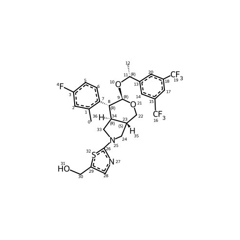 Cc1cc(F)ccc1[C@@H]1[C@@H](O[C@H](C)c2cc(C(F)(F)F)cc(C(F)(F)F)c2)OC[C@@H]2CN(c3ncc(CO)s3)C[C@H]21